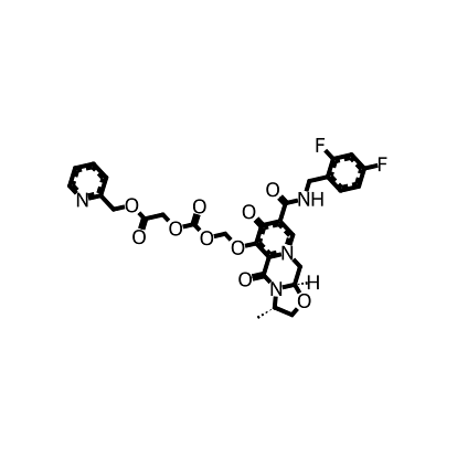 C[C@H]1CO[C@@H]2Cn3cc(C(=O)NCc4ccc(F)cc4F)c(=O)c(OCOC(=O)OCC(=O)OCc4ccccn4)c3C(=O)N12